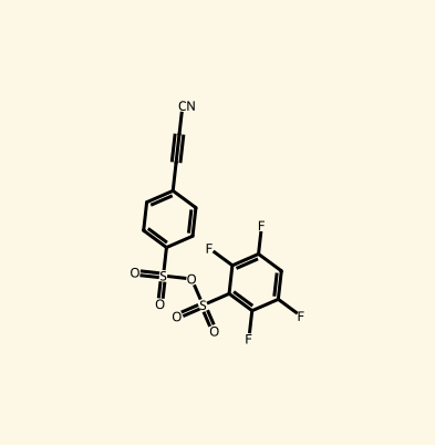 N#CC#Cc1ccc(S(=O)(=O)OS(=O)(=O)c2c(F)c(F)cc(F)c2F)cc1